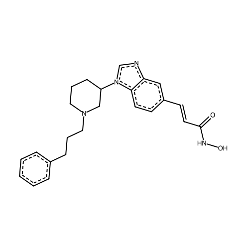 O=C(C=Cc1ccc2c(c1)ncn2C1CCCN(CCCc2ccccc2)C1)NO